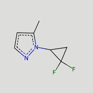 Cc1ccnn1C1CC1(F)F